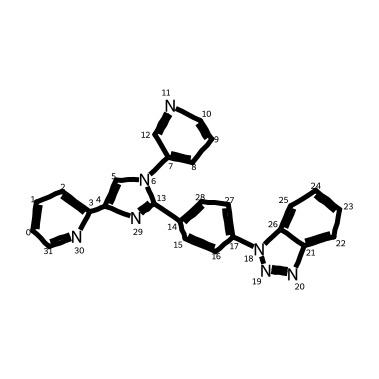 c1ccc(-c2cn(-c3cccnc3)c(-c3ccc(-n4nnc5ccccc54)cc3)n2)nc1